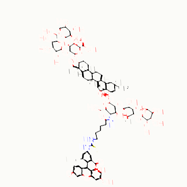 Cc1cc(NC(=S)NCCCCCC(=O)N[C@@H]2[C@H](O)[C@@H](O[C@@H]3O[C@@H](C)[C@H](O[C@@H]4OC[C@@H](O)[C@H](O)[C@H]4O)[C@@H](O)[C@H]3O)[C@H](OC(=O)[C@]34CCC(C)(C)C[C@H]3C3=CC[C@@H]5[C@@]6(C)CC[C@H](O[C@@H]7O[C@H](C(=O)O)[C@@H](O)[C@H](O[C@@H]8OC[C@@H](O)[C@H](O)[C@H]8O)[C@H]7O[C@@H]7O[C@H](CO)[C@H](O)[C@H](O)[C@H]7O)[C@@](C)(C=O)[C@@H]6CC[C@@]5(C)[C@]3(C)C[C@H]4O)O[C@@H]2CO)cc(C(=O)O)c1-c1c2ccc(=O)cc-2oc2cc(O)ccc12